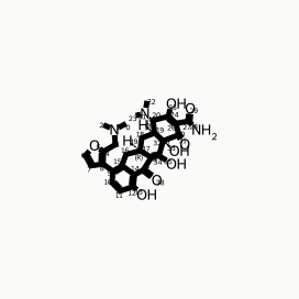 CN(C)Cc1occc1-c1ccc(O)c2c1C[C@H]1C[C@H]3[C@H](N(C)C)C(O)=C(C(N)=O)C(=O)[C@@]3(O)C(O)=C1C2=O